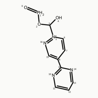 O=[PH2]OC(O)[n+]1ccc(-c2ncccn2)cn1